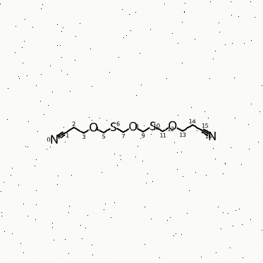 N#CCCOCSCOCSCOCCC#N